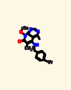 CCCCOn1c(=O)c(C(=O)O)c(NCc2ccc(C(C)C)cc2)c2c(C)ncnc21